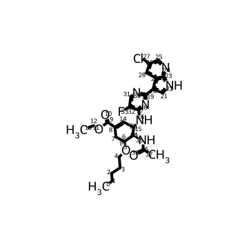 CCCCCO[C@@H]1CC(C(=O)OCC)=C[C@@H](Nc2nc(-c3c[nH]c4ncc(Cl)cc34)ncc2F)[C@H]1NC(C)=O